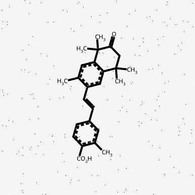 Cc1cc2c(cc1/C=C/c1ccc(C(=O)O)c(C)c1)C(C)(C)CC(=O)C2(C)C